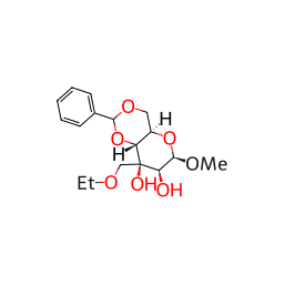 CCOC[C@@]1(O)[C@H](O)[C@H](OC)O[C@@H]2COC(c3ccccc3)O[C@H]21